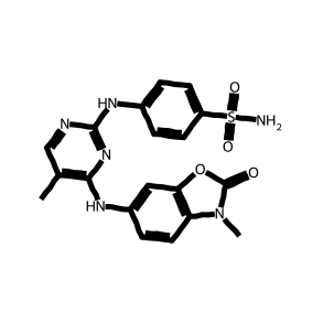 Cc1cnc(Nc2ccc(S(N)(=O)=O)cc2)nc1Nc1ccc2c(c1)oc(=O)n2C